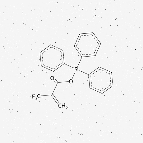 C=C(C(=O)O[Si](c1ccccc1)(c1ccccc1)c1ccccc1)C(F)(F)F